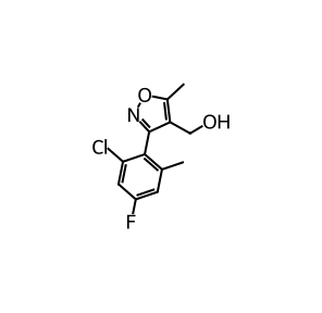 Cc1cc(F)cc(Cl)c1-c1noc(C)c1CO